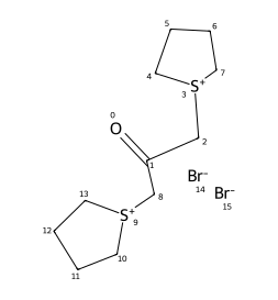 O=C(C[S+]1CCCC1)C[S+]1CCCC1.[Br-].[Br-]